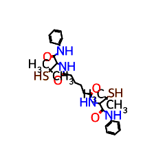 CC(C)(S)C(NC(=O)CCCCC(=O)NC(C(=O)Nc1ccccc1)C(C)(C)S)C(=O)Nc1ccccc1